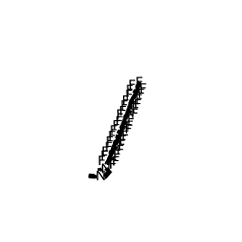 C=C[n+]1ccn(C(F)(F)C(F)(F)C(F)(F)C(F)(F)C(F)(F)C(F)(F)C(F)(F)C(F)(F)C(F)(F)C(F)(F)C(F)(F)C(F)(F)C(F)(F)C(F)(F)C(F)(F)C(F)(F)F)c1